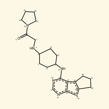 O=C(CNC1CCC(Nc2ncnc3sc4c(c23)CCC4)CC1)N1CCCC1